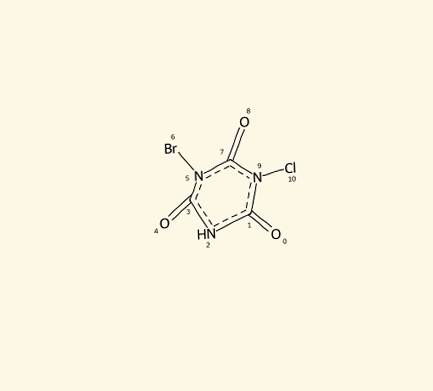 O=c1[nH]c(=O)n(Br)c(=O)n1Cl